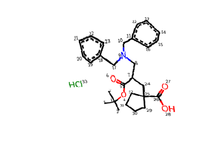 CC(C)(C)OC(=O)C(CN(Cc1ccccc1)Cc1ccccc1)CC1(C(=O)O)CCCC1.Cl